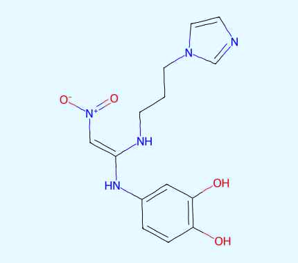 O=[N+]([O-])/C=C(\NCCCn1ccnc1)Nc1ccc(O)c(O)c1